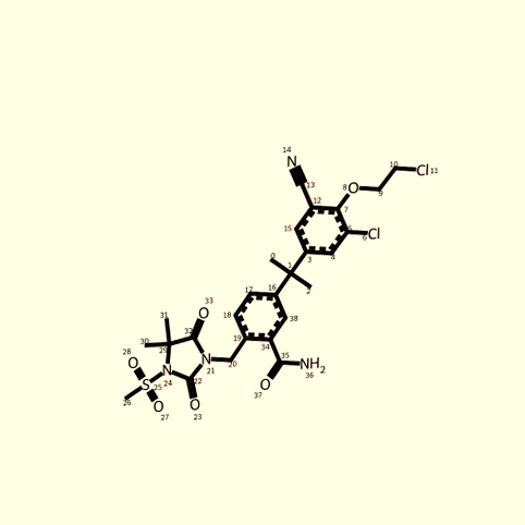 CC(C)(c1cc(Cl)c(OCCCl)c(C#N)c1)c1ccc(CN2C(=O)N(S(C)(=O)=O)C(C)(C)C2=O)c(C(N)=O)c1